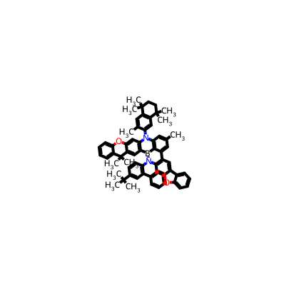 Cc1cc2c3c(c1)N(c1cc4c(cc1C)C(C)(C)CCC4(C)C)c1cc4c(cc1B3N(c1ccc(C(C)(C)C)cc1-c1ccccc1)c1cc3oc5ccccc5c3cc1-2)C(C)(C)c1ccccc1O4